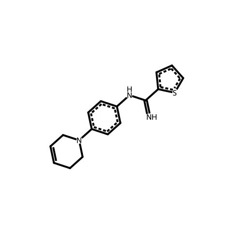 N=C(Nc1ccc(N2CC=CCC2)cc1)c1cccs1